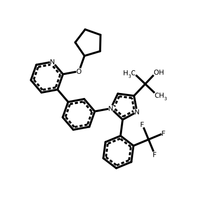 CC(C)(O)c1cn(-c2cccc(-c3cccnc3OC3CCCC3)c2)c(-c2ccccc2C(F)(F)F)n1